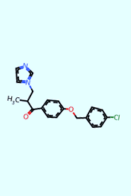 CC(Cn1ccnc1)C(=O)c1ccc(OCc2ccc(Cl)cc2)cc1